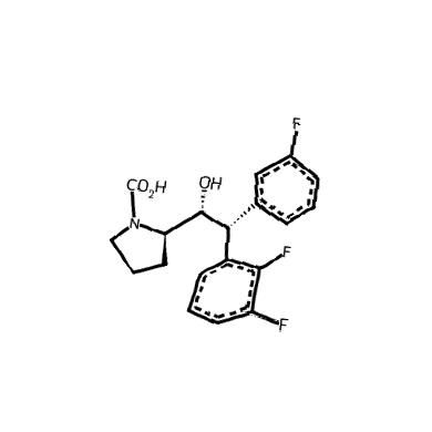 O=C(O)N1CCC[C@@H]1[C@H](O)[C@H](c1cccc(F)c1)c1cccc(F)c1F